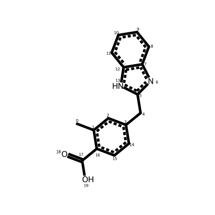 Cc1cc(Cc2nc3ccccc3[nH]2)ccc1C(=O)O